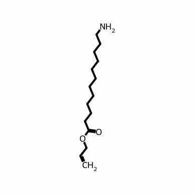 C=CCOC(=O)CCCCCCCCCCCN